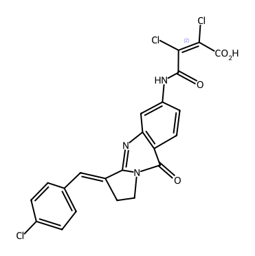 O=C(O)/C(Cl)=C(/Cl)C(=O)Nc1ccc2c(=O)n3c(nc2c1)C(=Cc1ccc(Cl)cc1)CC3